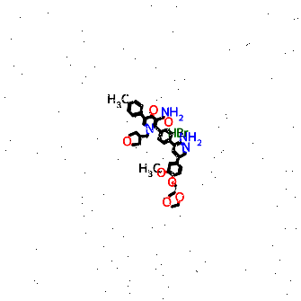 Br.COc1cc(-c2cnc(N)c(-c3ccc(-c4c(C(N)=O)c(=O)c(-c5ccc(C)cc5)cn4CC4CCOCC4)cc3)c2)ccc1OC[C@H]1COCCO1